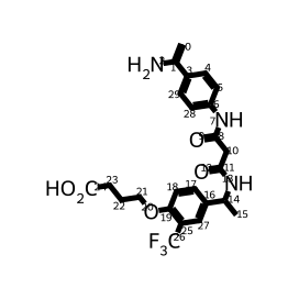 C=C(N)c1ccc(NC(=O)CC(=O)NC(C)c2ccc(OCCCC(=O)O)c(C(F)(F)F)c2)cc1